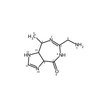 CC1N=C(CN)NC(=O)C2N=CNC12